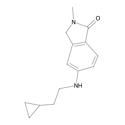 CN1Cc2cc(NCCC3CC3)ccc2C1=O